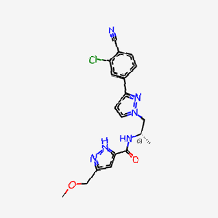 COCc1cc(C(=O)N[C@@H](C)Cn2ccc(-c3ccc(C#N)c(Cl)c3)n2)[nH]n1